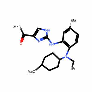 CC[C@@H](C)c1ccc(N(CC(C)C)C2CCC(OC)CC2)c(Nc2nc(C(=O)OC)c[nH]2)c1